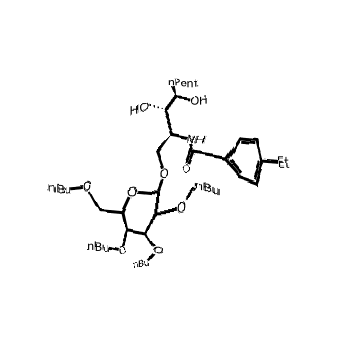 CCCCC[C@@H](O)[C@@H](O)[C@H](COC1OC(COCCCC)C(OCCCC)C(OCCCC)C1OCCCC)NC(=O)c1ccc(CC)cc1